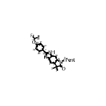 CCCCCN1C(=O)C(C)(C)c2cc3nc(-c4ccc(OC(F)F)cc4)[nH]c3cc21